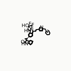 O=C(O)C(F)(F)F.O=C1Nc2ccccc2[C@]12C[C@H]2c1ccc2c(/C=C/c3ccc(CN4CCCCC4)nc3)n[nH]c2c1